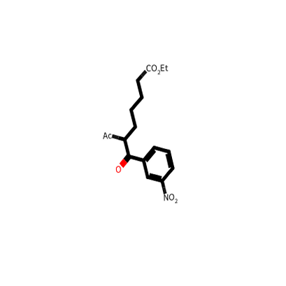 CCOC(=O)CCCCC(C(C)=O)C(=O)c1cccc([N+](=O)[O-])c1